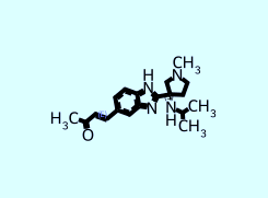 CC(=O)/C=C/c1ccc2[nH]c([C@]3(NC(C)C)CCN(C)C3)nc2c1